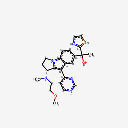 COCCN(C)[C@@H]1CCn2c1c(-c1ccncn1)c1cc(C(C)(O)c3nccs3)ccc12